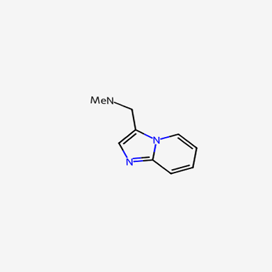 CNCc1cnc2ccccn12